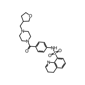 O=C(c1ccc(NS(=O)(=O)c2cccc3c2N=CCC3)cc1)N1CCN(CC2CCOC2)CC1